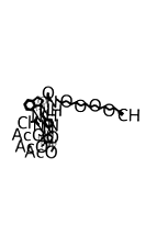 C#CCOCCOCCOCCOCCNC(=O)[C@H]1Cc2ccccc2[C@H]1Nc1nc(Cl)nc2c1cnn2[C@@H]1O[C@H](COC(C)=O)[C@@H](OC(C)=O)[C@H]1OC(C)=O